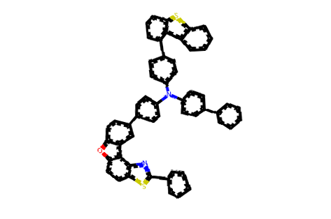 c1ccc(-c2ccc(N(c3ccc(-c4ccc5oc6ccc7sc(-c8ccccc8)nc7c6c5c4)cc3)c3ccc(-c4cccc5sc6ccccc6c45)cc3)cc2)cc1